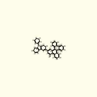 Cc1cc(C2=Cc3c4c(p(C5=CCCC=C5)c3CC2)CCC=C4)cc2c1c1ccccc1c1c3ccccc3c3ccccc3c21